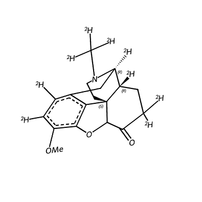 [2H]c1c([2H])c(OC)c2c3c1C[C@@]1([2H])N(C([2H])([2H])[2H])CC[C@@]34C(O2)C(=O)C([2H])([2H])C[C@]41[2H]